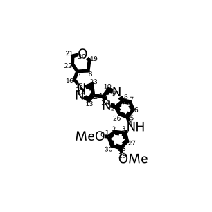 COc1cc(Nc2ccc3ncc(-c4cnn(CC5CCOCC5)c4)nc3c2)cc(OC)c1